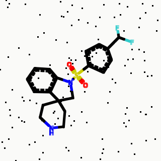 O=S(=O)(c1ccc(C(F)F)cc1)N1CC2(CCNCC2)c2ccccc21